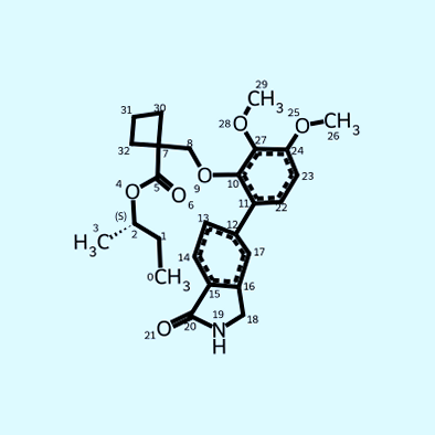 CC[C@H](C)OC(=O)C1(COc2c(-c3ccc4c(c3)CNC4=O)ccc(OC)c2OC)CCC1